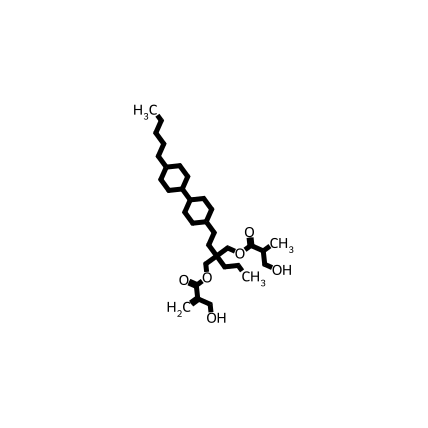 C=C(CO)C(=O)OCC(CCC)(CCC1CCC(C2CCC(CCCCC)CC2)CC1)COC(=O)C(C)CO